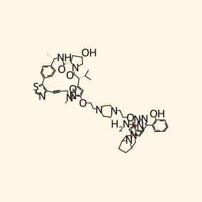 CC(C)[C@@H](C(=O)N1C[C@H](O)C[C@H]1C(=O)N[C@@H](C)c1ccc(-c2scnc2C#CCN(C)C)cc1)c1cc(OCCN2CCN(CCOc3cc(N4C5CCC4CN(c4cc(-c6ccccc6O)nnc4N)C5)ccn3)CC2)no1